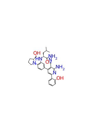 CC(C)C[C@H](Nc1cc(-c2cc(-c3ccccc3O)nc(N)c2C#N)ccc1N1CCC[C@H]1CO)C(N)=O